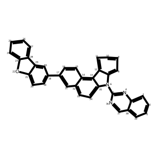 c1ccc2nc(-n3c4ccccc4c4c5ccc(-c6ccc7oc8ccccc8c7c6)cc5ccc43)ncc2c1